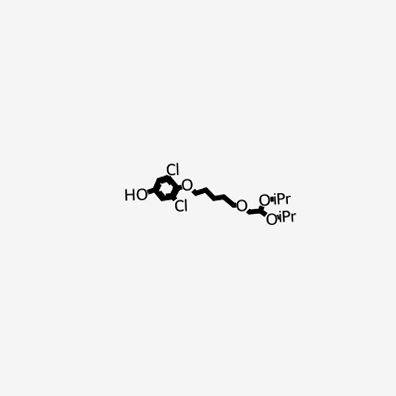 CC(C)OC(COCCCCCOc1c(Cl)cc(O)cc1Cl)OC(C)C